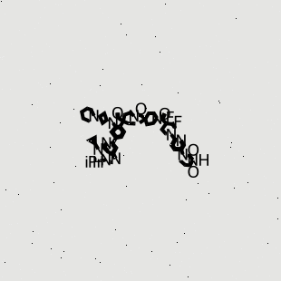 CC(C)n1cnc2cc(-c3ccc4c(c3)N([C@H]3C[C@@H](N5CCCCC5)C3)C(=O)C43CCN(C(=O)C4(C)CCN(C(=O)C5CCN(c6ccc(N7CCC(=O)NC7=O)cn6)CC5(F)F)CC4)CC3)nc(NC3CC3)c21